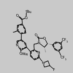 COc1ncc(-c2ccc(C(=O)OC(C)(C)C)cc2C)cc1-c1ccc(N2CC(F)C2)nc1CN1C(=O)O[C@H](c2cc(C(F)(F)F)cc(C(F)(F)F)c2)[C@@H]1C